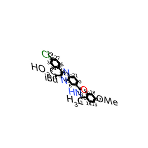 CCC(C)C(C(=O)O)c1nc2cc(C(=O)N[C@H](C)c3ccc(OC)cc3)ccc2nc1-c1ccc(Cl)cc1